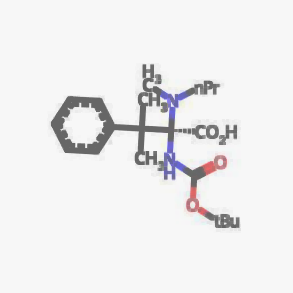 CCCN(C)[C@](NC(=O)OC(C)(C)C)(C(=O)O)C(C)(C)c1ccccc1